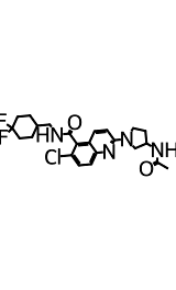 CC(=O)NC1CCN(c2ccc3c(C(=O)NCC4CCC(F)(F)CC4)c(Cl)ccc3n2)C1